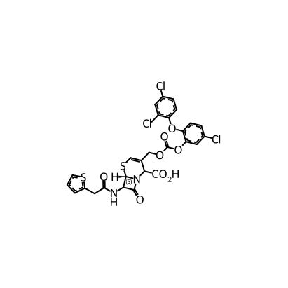 O=C(Cc1cccs1)NC1C(=O)N2C(C(=O)O)C(COC(=O)Oc3cc(Cl)ccc3Oc3ccc(Cl)cc3Cl)=CS[C@@H]12